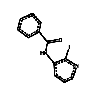 O=C(Nc1cccnc1I)c1ccccc1